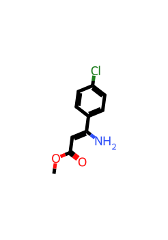 COC(=O)/C=C(\N)c1ccc(Cl)cc1